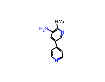 CNc1ncc(-c2ccncc2)cc1N